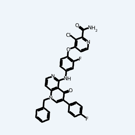 NC(=O)c1nccc(Oc2ccc(Nc3nccc4c3c(=O)c(-c3ccc(F)cc3)cn4Cc3ccccc3)cc2F)c1Cl